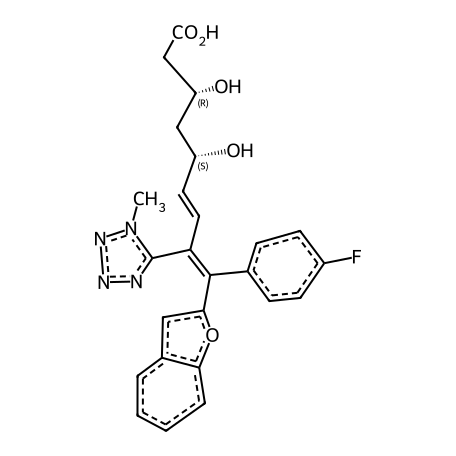 Cn1nnnc1C(C=C[C@@H](O)C[C@@H](O)CC(=O)O)=C(c1ccc(F)cc1)c1cc2ccccc2o1